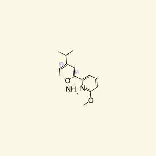 C/C=C(\C=C(/ON)c1cccc(OC)n1)C(C)C